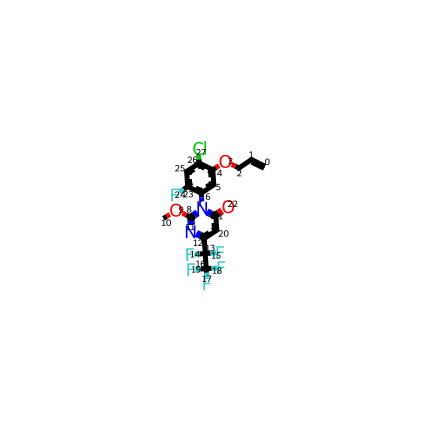 C=CCOc1cc(-n2c(OC)nc(C(F)(F)C(F)(F)F)cc2=O)c(F)cc1Cl